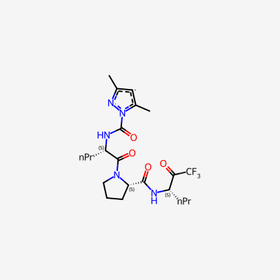 CCC[C@H](NC(=O)n1nc(C)[c]c1C)C(=O)N1CCC[C@H]1C(=O)N[C@@H](CCC)C(=O)C(F)(F)F